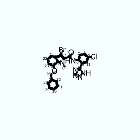 Cn1c(C(=O)Nc2ccc(Cl)cc2-c2nnn[nH]2)c(Br)c2cccc(OCc3ccccc3)c21